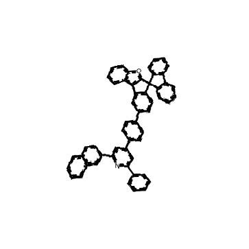 c1ccc(-c2cc(-c3ccc(-c4ccc5c(c4)-c4c(oc6ccccc46)C54c5ccccc5-c5ccccc54)cc3)cc(-c3ccc4ccccc4c3)n2)cc1